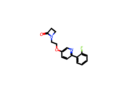 O=C1CCN1CCOc1ccc(-c2ccccc2F)nc1